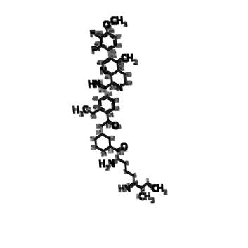 C=CC(C)C(=N)CCC[C@H](N)C(=O)C1CCCC(CC(=O)c2ccc(C(=N)C3=NC=CC4C(=C)C(c5ccc(OC)c(F)c5F)=CN=C34)cc2CC)C1